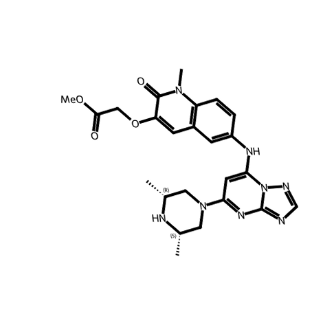 COC(=O)COc1cc2cc(Nc3cc(N4C[C@@H](C)N[C@@H](C)C4)nc4ncnn34)ccc2n(C)c1=O